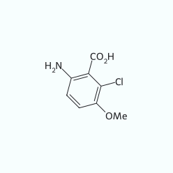 COc1ccc(N)c(C(=O)O)c1Cl